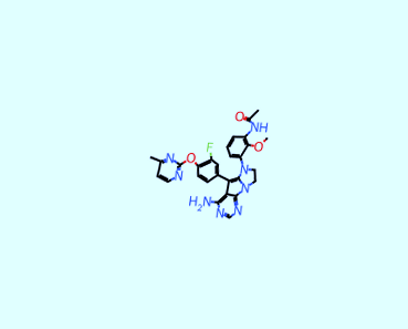 COc1c(NC(C)=O)cccc1N1CCn2c1c(-c1ccc(Oc3nccc(C)n3)c(F)c1)c1c(N)ncnc12